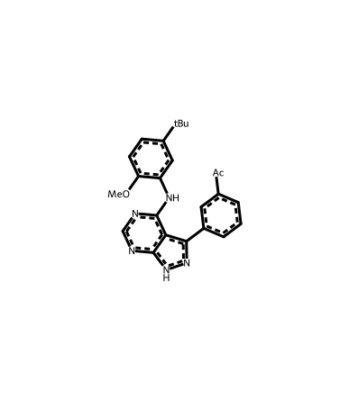 COc1ccc(C(C)(C)C)cc1Nc1ncnc2[nH]nc(-c3cccc(C(C)=O)c3)c12